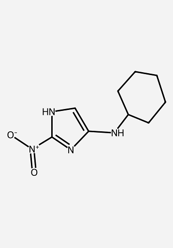 O=[N+]([O-])c1nc(NC2CCCCC2)c[nH]1